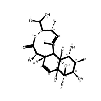 CC[C@@H](O)[C@H]1OC(=O)[C@H](CC)[C@H]2C=C[C@H]3[C@H]4O[C@]2(/C(C)=C/[C@H]1C)[C@@H]3[C@H](O)[C@@H](C)[C@H]4O